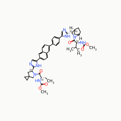 CC[C@H](NC(=O)OC)C(=O)N1CC2(CC2)C[C@H]1c1ncc(-c2ccc3cc(-c4ccc(-c5cnc([C@@H]6[C@H]7CC[C@H](C7)N6C(=O)[C@@H](NC(=O)OC)C(C)C)[nH]5)cc4)ccc3c2)[nH]1